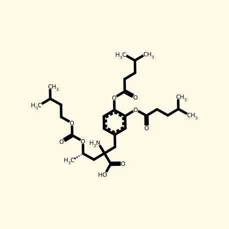 CC(C)CCOC(=O)O[C@@H](C)CC(N)(Cc1ccc(OC(=O)CCC(C)C)c(OC(=O)CCC(C)C)c1)C(=O)O